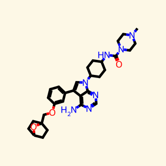 CN1CCN(C(=O)NC2CCC(n3cc(-c4cccc(OCC56CCC(CC5)O6)c4)c4c(N)ncnc43)CC2)CC1